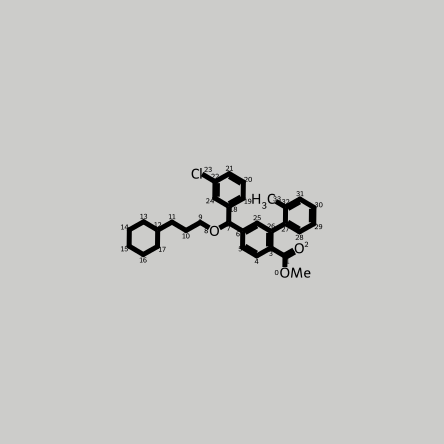 COC(=O)c1ccc(C(OCCCC2CCCCC2)c2cccc(Cl)c2)cc1-c1ccccc1C